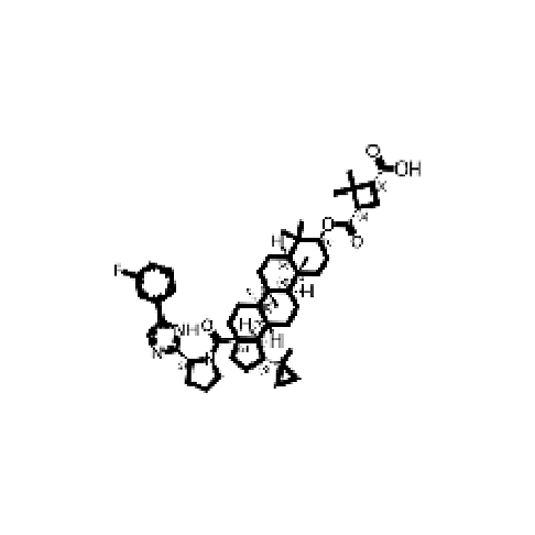 CC1([C@@H]2CC[C@]3(C(=O)N4CCC[C@H]4c4ncc(-c5cccc(F)c5)[nH]4)CC[C@]4(C)[C@H](CC[C@@H]5[C@@]6(C)CC[C@H](OC(=O)[C@H]7C[C@@H](C(=O)O)C7(C)C)C(C)(C)[C@@H]6CC[C@]54C)[C@@H]23)CC1